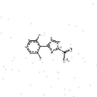 Cc1cccc(C)c1-c1ncc(C(N)=O)s1